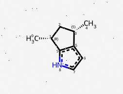 C[C@@H]1C[C@H](C)c2cc[nH]c21